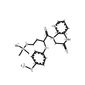 CC(C)(C)[Si](C)(C)OCCC(Oc1ccc(OC(F)(F)F)cc1)C(=O)N1CC(=O)Nc2cccnc21